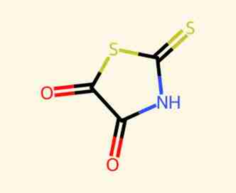 O=C1NC(=S)SC1=O